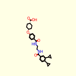 O=C(NCCNC(=O)c1ccc(C2CC2)c(C2CC2)c1)c1ccc(O[C@H]2CC[C@@H](C(=O)O)CC2)cc1